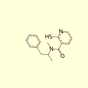 CC(Cc1ccccc1)N(C)C(=O)c1cccnc1S